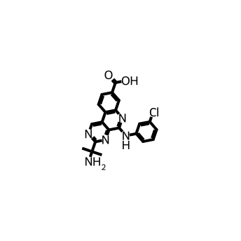 CC(C)(N)c1ncc2c(n1)c(Nc1cccc(Cl)c1)nc1cc(C(=O)O)ccc12